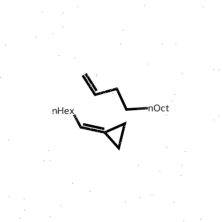 C=CCCCCCCCCCC.CCCCCCC=C1CC1